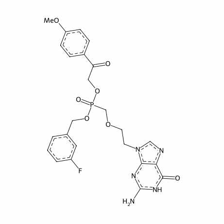 COc1ccc(C(=O)COP(=O)(COCCn2cnc3c(=O)[nH]c(N)nc32)OCc2cccc(F)c2)cc1